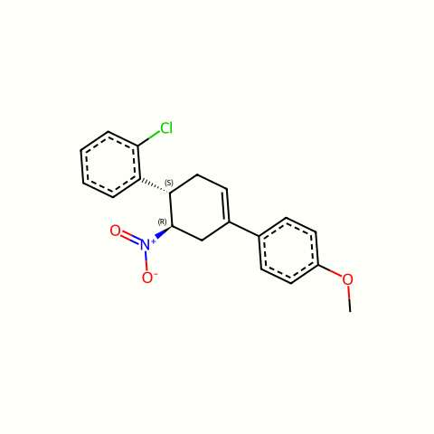 COc1ccc(C2=CC[C@@H](c3ccccc3Cl)[C@H]([N+](=O)[O-])C2)cc1